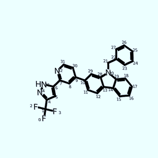 FC(F)(F)c1cc(-c2cc(-c3ccc4c5ccccc5n(Cc5ccccc5)c4c3)ccn2)[nH]n1